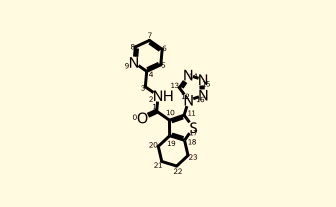 O=C(NCc1ccccn1)c1c(-n2cnnn2)sc2c1CCCC2